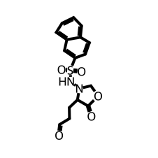 O=CCCC1C(=O)OCN1NS(=O)(=O)c1ccc2ccccc2c1